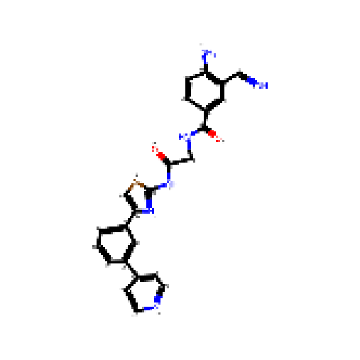 N=Cc1cc(C(=O)NCC(=O)Nc2nc(-c3cccc(-c4ccncc4)c3)cs2)ccc1N